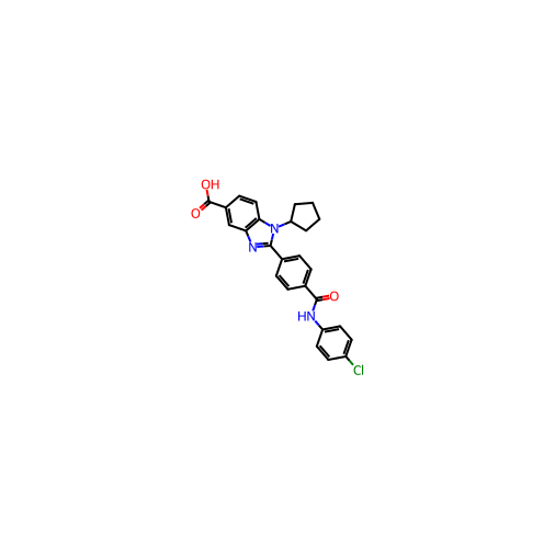 O=C(O)c1ccc2c(c1)nc(-c1ccc(C(=O)Nc3ccc(Cl)cc3)cc1)n2C1CCCC1